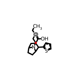 CCOCCN1C2CCC1C(c1cccs1)C(C(=O)O)C2